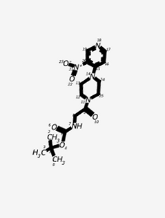 CC(C)(C)OC(=O)NCC(=O)N1CCN(c2ccncc2[N+](=O)[O-])CC1